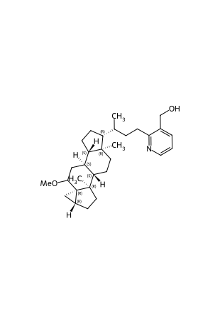 COC1C[C@H]2[C@@H]3CC[C@H](C(C)CCc4ncccc4CO)[C@@]3(C)CC[C@@H]2[C@@]2(C)CC[C@@H]3C[C@@]132